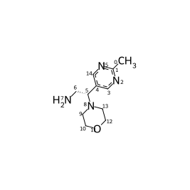 Cc1ncc([C@@H](CN)N2CCOCC2)cn1